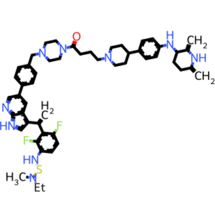 C=C1CCC(Nc2ccc(C3CCN(CCCC(=O)N4CCN(Cc5ccc(-c6cnc7[nH]cc(C(=C)c8c(F)ccc(NSN(C)CC)c8F)c7c6)cc5)CC4)CC3)cc2)C(=C)N1